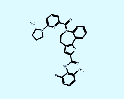 Cc1cccc(F)c1NC(=O)c1cc2c(s1)-c1ccccc1N(C(=O)c1cccc(N3CCC[C@@H]3C#N)n1)CC2